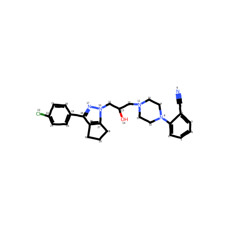 N#Cc1ccccc1N1CCN(CC(O)Cn2nc(-c3ccc(Cl)cc3)c3c2CCC3)CC1